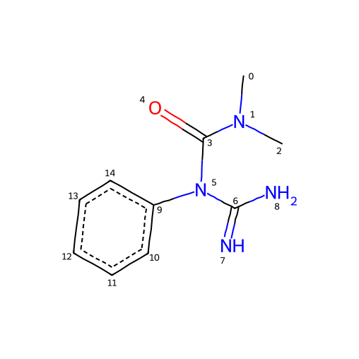 CN(C)C(=O)N(C(=N)N)c1ccccc1